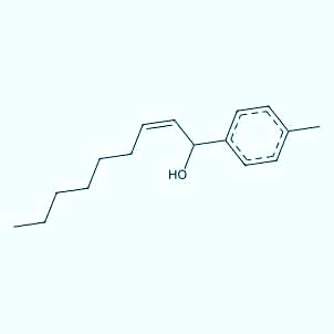 CCCCCC/C=C\C(O)c1ccc(C)cc1